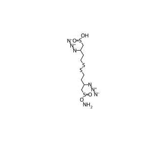 [N-]=[N+]=NC(CCSSCCC(CS(=O)ON)N=[N+]=[N-])CS(=O)O